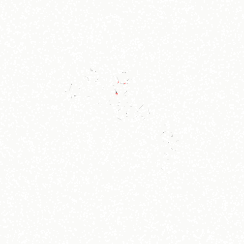 Cc1ccc([C@]23OC[C@](COCc4ccccc4)(O2)[C@@H](OCc2ccccc2)[C@H](OCc2ccccc2)[C@H]3OCc2ccccc2)cc1Cc1ccc(CCCC(=O)NC(C)(C)C(=O)NCCN(C)C)cc1